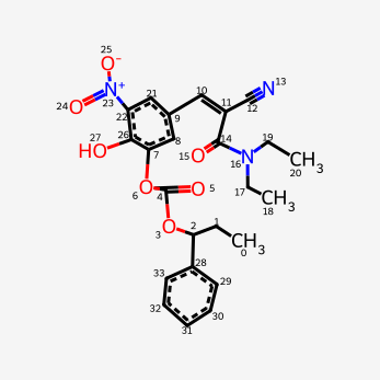 CCC(OC(=O)Oc1cc(C=C(C#N)C(=O)N(CC)CC)cc([N+](=O)[O-])c1O)c1ccccc1